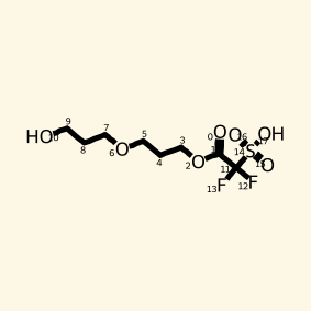 O=C(OCCCOCCCO)C(F)(F)S(=O)(=O)O